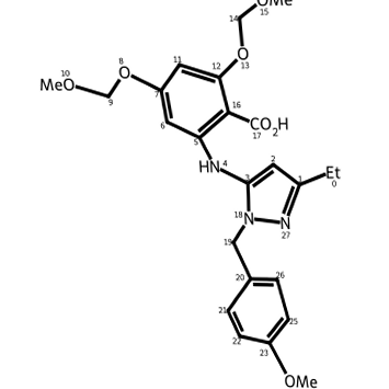 CCc1cc(Nc2cc(OCOC)cc(OCOC)c2C(=O)O)n(Cc2ccc(OC)cc2)n1